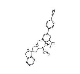 CN(C)CCC1(COCc2cc(Cl)cc(-c3ccc(C#N)cc3)c2)OCc2ccccc21